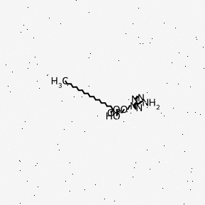 CCCCCCCCCCCCCCCCCC(=O)OP(O)COCCn1cnc2c(N)ncnc21